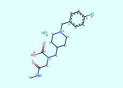 CNC(=O)CN(CC1CCN(Cc2ccc(Cl)cc2)CC1)C(=O)O.Cl